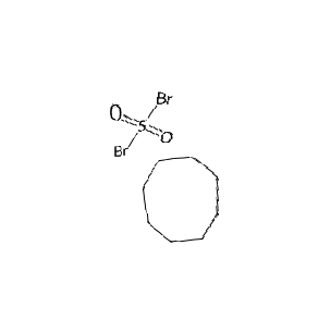 C1CCCCCCC1.O=S(=O)(Br)Br